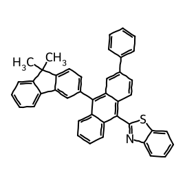 CC1(C)c2ccccc2-c2cc(-c3c4ccccc4c(-c4nc5ccccc5s4)c4ccc(-c5ccccc5)cc34)ccc21